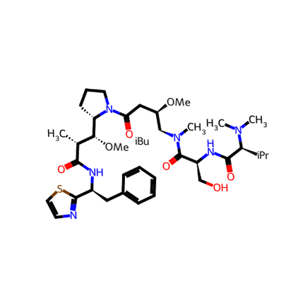 CC[C@H](C)[C@@H]([C@@H](CC(=O)N1CCC[C@H]1[C@H](OC)[C@@H](C)C(=O)N[C@@H](Cc1ccccc1)c1nccs1)OC)N(C)C(=O)[C@H](CO)NC(=O)[C@H](C(C)C)N(C)C